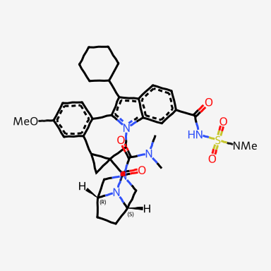 CNS(=O)(=O)NC(=O)c1ccc2c(C3CCCCC3)c3n(c2c1)CC1(C(=O)N2[C@@H]4CC[C@H]2CN(C(=O)N(C)C)C4)CC1c1cc(OC)ccc1-3